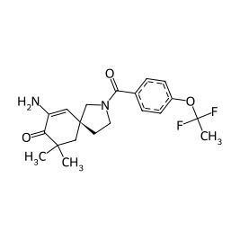 CC(F)(F)Oc1ccc(C(=O)N2CC[C@@]3(C=C(N)C(=O)C(C)(C)C3)C2)cc1